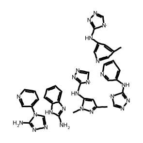 C1=NN=C(Nc2cccnc2)[N]1.Cc1cc(NC2=NN=C[N]2)n(C)n1.Cc1cncc(NC2=NN=C[N]2)c1.Nc1nc2ccccc2[nH]1.Nc1nncn1-c1cccnc1